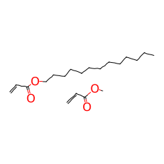 C=CC(=O)OC.C=CC(=O)OCCCCCCCCCCCCC